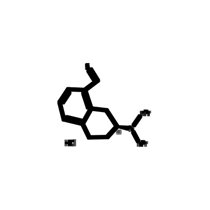 CCCN(CCC)[C@H]1CCc2cccc(C=S)c2C1.Cl